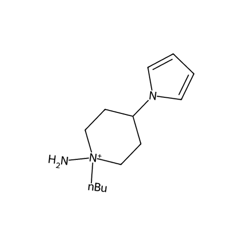 CCCC[N+]1(N)CCC(n2cccc2)CC1